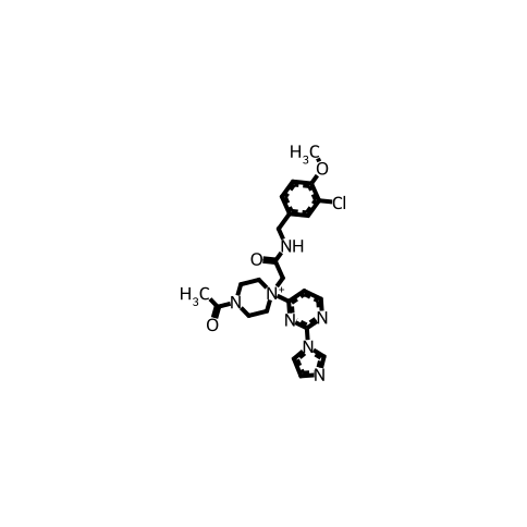 COc1ccc(CNC(=O)C[N+]2(c3ccnc(-n4ccnc4)n3)CCN(C(C)=O)CC2)cc1Cl